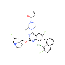 C=CC(=O)N1CCN(c2nc(OC[C@@]34CCCN3C[C@H](F)C4)nc3cc(-c4cccc5ccc(F)c(Cl)c45)c(F)cc23)[C@@H](C)C1